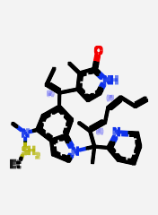 C=C/C=C\C=C(/C)C(C)(c1ccccn1)n1ccc2c(N(C)[SH2]CC)cc(/C(=C/C)c3cc[nH]c(=O)c3C)cc21